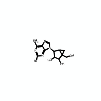 Nc1nc(Br)nc2c1ncn2C1C(O)C(O)C2(CO)CC12